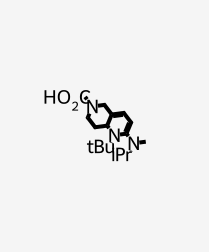 CC(C)N(C)C1=CC=C2CN(C(=O)O)CCC2N1C(C)(C)C